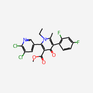 CCn1c(C)c(-c2ccc(F)cc2F)c(=O)c(C(=O)OC)c1-c1cnc(Cl)c(Cl)c1